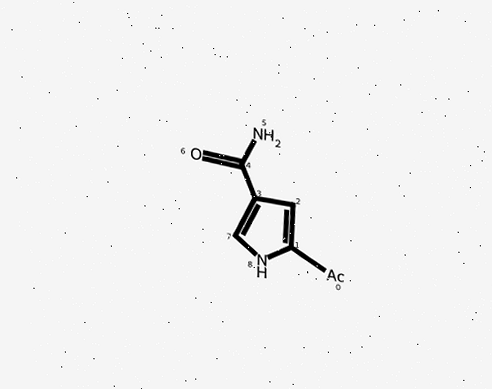 CC(=O)c1cc(C(N)=O)c[nH]1